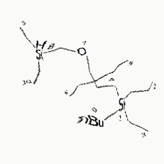 CCCC[Si](C)(C)C(C)(C)O[SiH](C)C